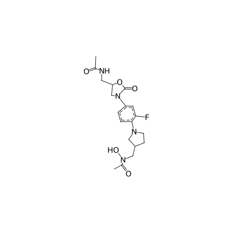 CC(=O)NCC1CN(c2ccc(N3CCC(CN(O)C(C)=O)C3)c(F)c2)C(=O)O1